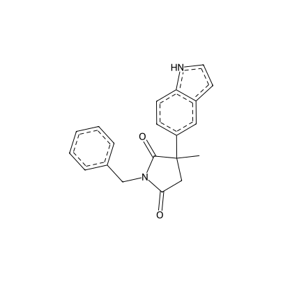 CC1(c2ccc3[nH]ccc3c2)CC(=O)N(Cc2ccccc2)C1=O